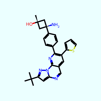 CC(C)(C)c1cc2ncc3cc(-c4cccs4)c(-c4ccc([C@]5(N)C[C@](C)(O)C5)cc4)nc3n2n1